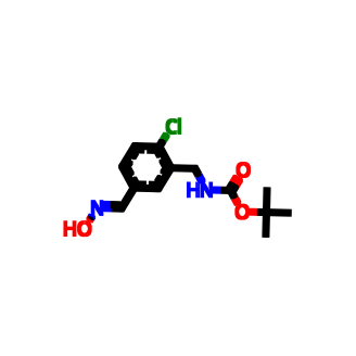 CC(C)(C)OC(=O)NCc1cc(C=NO)ccc1Cl